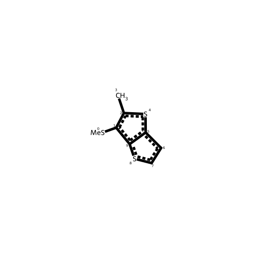 CSc1c(C)sc2ccsc12